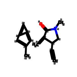 C#CC1CN(C)C(=O)C1=C.Cc1cc2cc-2c1